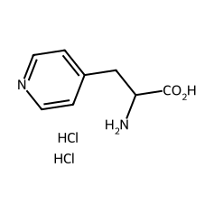 Cl.Cl.NC(Cc1ccncc1)C(=O)O